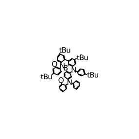 CC(C)(C)c1ccc(N2c3cc4c(cc3B3c5c(cc(C(C)(C)C)cc52)-c2cc(C(C)(C)C)cc5c2N3c2ccc(C(C)(C)C)cc2O5)Oc2ccccc2N4c2ccccc2)cc1